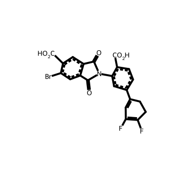 O=C(O)c1cc2c(cc1Br)C(=O)N(c1cc(C3=CC(F)=C(F)CC3)ccc1C(=O)O)C2=O